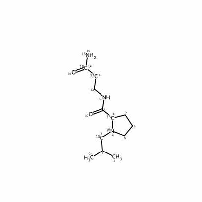 CC(C)[13CH2][15N]1CCC[13CH]1C(=O)NC[13CH2][13C]([15NH2])=O